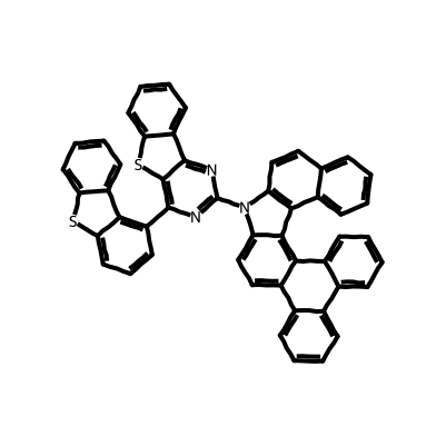 c1ccc2c(c1)ccc1c2c2c3c4ccccc4c4ccccc4c3ccc2n1-c1nc(-c2cccc3sc4ccccc4c23)c2sc3ccccc3c2n1